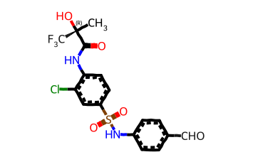 C[C@@](O)(C(=O)Nc1ccc(S(=O)(=O)Nc2ccc(C=O)cc2)cc1Cl)C(F)(F)F